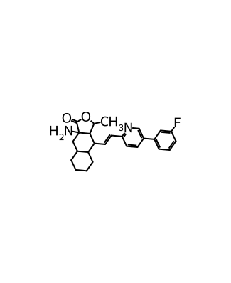 CC1OC(=O)C2(N)CC3CCCCC3C(/C=C/c3ccc(-c4cccc(F)c4)cn3)C12